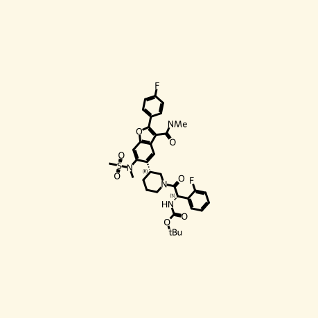 CNC(=O)c1c(-c2ccc(F)cc2)oc2cc(N(C)S(C)(=O)=O)c([C@H]3CCCN(C(=O)[C@@H](NC(=O)OC(C)(C)C)c4ccccc4F)C3)cc12